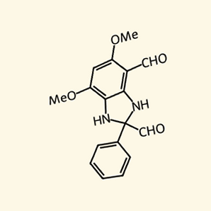 COc1cc(OC)c2c(c1C=O)NC(C=O)(c1ccccc1)N2